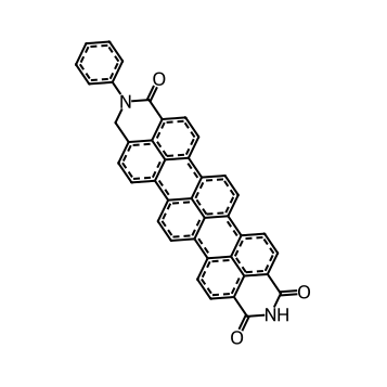 O=C1NC(=O)c2ccc3c4ccc5c6ccc7c8c(ccc(c9ccc(c%10ccc1c2c%103)c4c95)c86)CN(c1ccccc1)C7=O